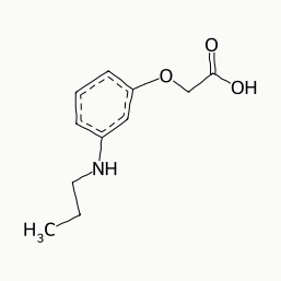 CCCNc1cccc(OCC(=O)O)c1